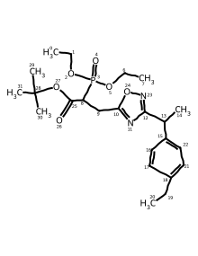 CCOP(=O)(OCC)C(Cc1nc(C(C)c2ccc(CC)cc2)no1)C(=O)OC(C)(C)C